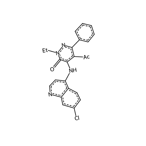 CCn1nc(-c2ccccc2)c(C(C)=O)c(Nc2ccnc3cc(Cl)ccc23)c1=O